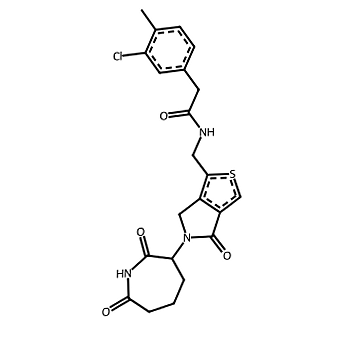 Cc1ccc(CC(=O)NCc2scc3c2CN(C2CCCC(=O)NC2=O)C3=O)cc1Cl